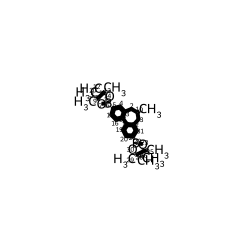 CC1Cc2cc(B3OC(C)(C)C(C)(C)O3)ccc2-c2ccc(B3OC(C)(C)C(C)(C)O3)cc2C1